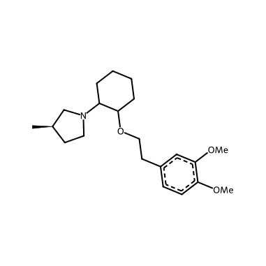 COc1ccc(CCOC2CCCCC2N2CC[C@@H](C)C2)cc1OC